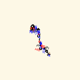 Cc1ncsc1-c1ccc([C@@H](NC(=O)[C@@H]2C[C@@H](O)CN2C(=O)[C@@H](C(C)C)n2cc(OCCCN3CCCN(c4nccc(-c5noc([C@@]6(C)CCCc7sc(N)c(C#N)c76)n5)n4)[C@@H](C)C3)nn2)[C@H](O)C(C)C)cc1